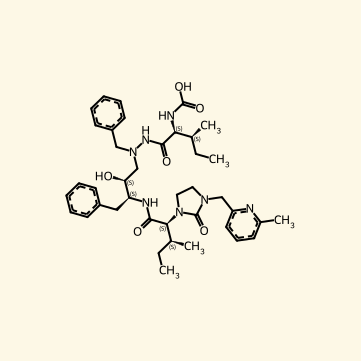 CC[C@H](C)[C@H](NC(=O)O)C(=O)NN(Cc1ccccc1)C[C@H](O)[C@H](Cc1ccccc1)NC(=O)[C@H]([C@@H](C)CC)N1CCN(Cc2cccc(C)n2)C1=O